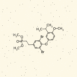 COc1ccc(Oc2c(Br)cc(CCP(=O)(OC)OC)cc2Br)cc1C(C)C